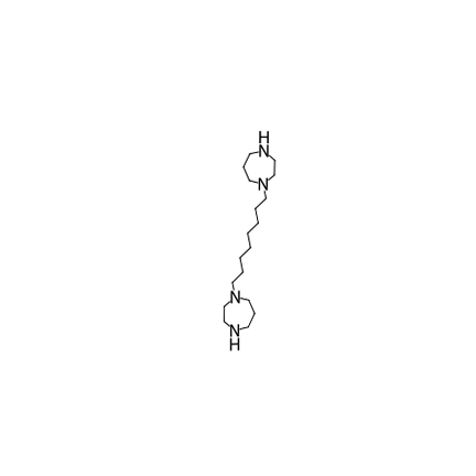 C(CCCCN1CCCNCC1)CCCN1CCCNCC1